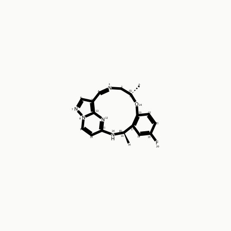 C[C@H]1CN=Cc2cnn3ccc(nc23)N[C@H](C)c2cc(F)ccc2O1